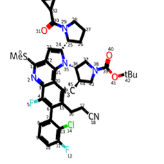 CSc1nc2c(F)c(-c3cccc(F)c3Cl)c(CCC#N)cc2c2c1cc([C@H]1CCCN1C(=O)C1CC1)n2[C@@H]1CN(C(=O)OC(C)(C)C)C[C@H]1C